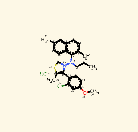 CCCN(c1c(C)ccc2cc(C)ccc12)N1CSC(C)=C1c1ccc(OC)cc1Cl.Cl